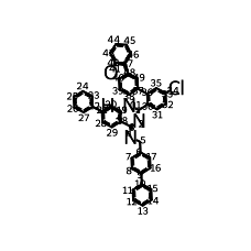 N/C(=N\C(=N/Cc1ccc(-c2ccccc2)cc1)c1ccc(-c2ccccc2)cc1)c1ccc(Cl)cc1-c1ccc2oc3ccccc3c2c1